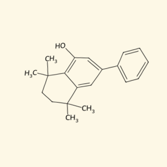 CC1(C)CCC(C)(C)c2c(O)cc(-c3ccccc3)cc21